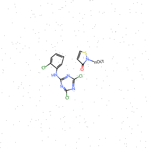 CCCCCCCCn1sccc1=O.Clc1nc(Cl)nc(Nc2ccccc2Cl)n1